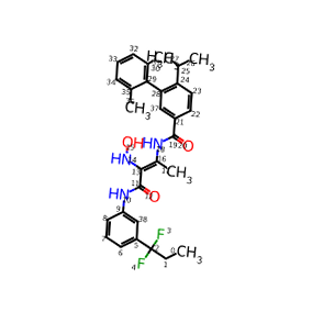 CCC(F)(F)c1cccc(NC(=O)/C(NO)=C(\C)NC(=O)c2ccc(C(C)C)c(-c3c(C)cccc3C)c2)c1